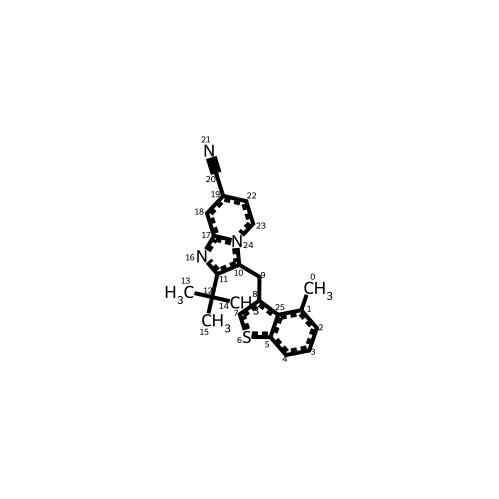 Cc1cccc2scc(Cc3c(C(C)(C)C)nc4cc(C#N)ccn34)c12